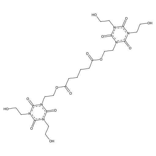 O=C(CCCCC(=O)OCCn1c(=O)n(CCO)c(=O)n(CCO)c1=O)OCCn1c(=O)n(CCO)c(=O)n(CCO)c1=O